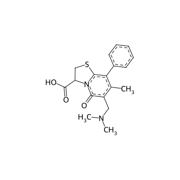 Cc1c(-c2ccccc2)c2n(c(=O)c1CN(C)C)C(C(=O)O)CS2